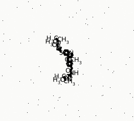 Cc1cc(CC(=O)Nc2cnn(C(C)(C)C)c2)ccc1Oc1ccnc2ccc(SC3CN(C(=O)OC(C)(C)C)C3)cc12